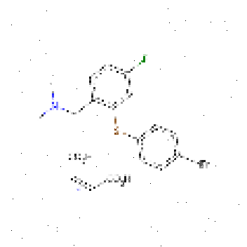 CC(C)c1ccc(Sc2cc(F)ccc2CN(C)C)cc1.O=C(O)/C=C\C(=O)O